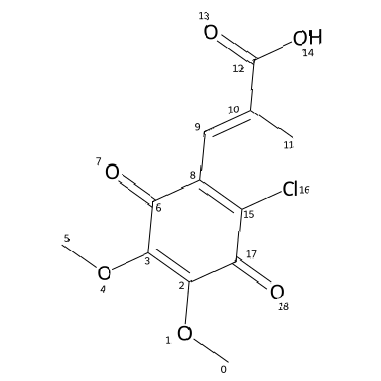 COC1=C(OC)C(=O)C(C=C(C)C(=O)O)=C(Cl)C1=O